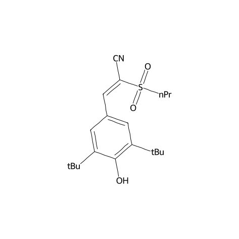 CCCS(=O)(=O)C(C#N)=Cc1cc(C(C)(C)C)c(O)c(C(C)(C)C)c1